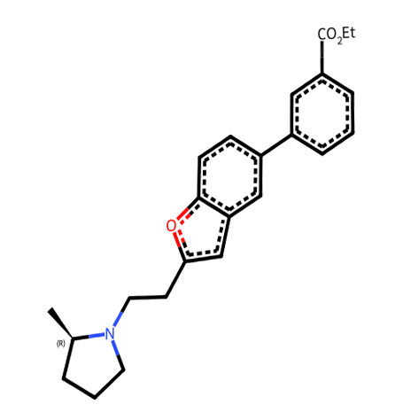 CCOC(=O)c1cccc(-c2ccc3oc(CCN4CCC[C@H]4C)cc3c2)c1